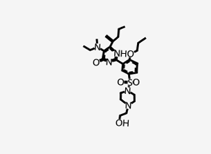 C=C(CCC)c1[nH]c(-c2cc(S(=O)(=O)N3CCN(CCO)CC3)ccc2OCCC)nc(=O)c1N(C)CC